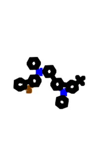 CC(C)(C)c1ccc2c(c1)c1cc(-c3cccc(N(c4ccccc4)c4ccc5sc6ccccc6c5c4)c3)ccc1n2-c1ccccc1